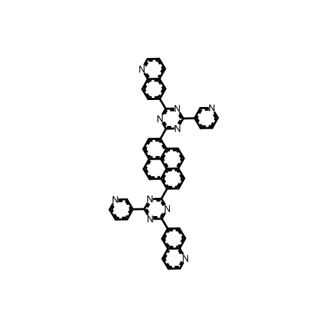 c1cncc(-c2nc(-c3ccc4ncccc4c3)nc(-c3ccc4ccc5c(-c6nc(-c7cccnc7)nc(-c7ccc8ncccc8c7)n6)ccc6ccc3c4c65)n2)c1